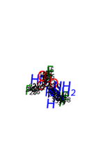 NC(=O)c1c(-c2ccc(NS(=O)(=O)CC(F)F)c(OCc3ccc(F)cc3)c2)n[nH]c1Nc1cccc(C(F)(F)F)n1